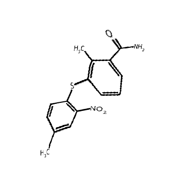 Cc1ccc(Sc2cccc(C(N)=O)c2C)c([N+](=O)[O-])c1